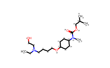 CCN(CCO)CCCCOC1CCC(N(C)C(=O)OCC(C)C)CC1